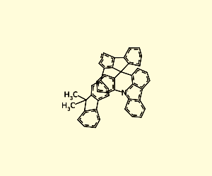 CC1(C)c2ccccc2-c2ccc(-c3cccc4c3C3(c5ccccc5-4)c4ccccc4-n4c5ccccc5c5cccc3c54)cc21